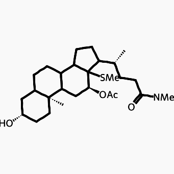 CNC(=O)CC[C@@H](C)C1CCC2C3CCC4C[C@@H](O)CC[C@]4(C)C3C[C@H](OC(C)=O)C21SC